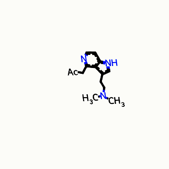 CC(=O)Cc1nccc2[nH]cc(CCN(C)C)c12